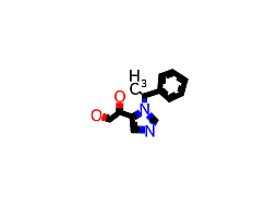 C[C@H](c1ccccc1)n1cncc1C(=O)C=O